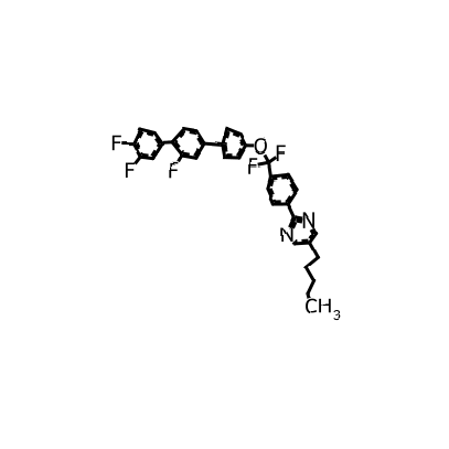 CCCCCc1cnc(-c2ccc(C(F)(F)Oc3ccc(-c4ccc(-c5ccc(F)c(F)c5)c(F)c4)cc3)cc2)nc1